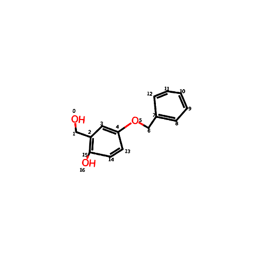 OCc1cc(OCc2ccccc2)ccc1O